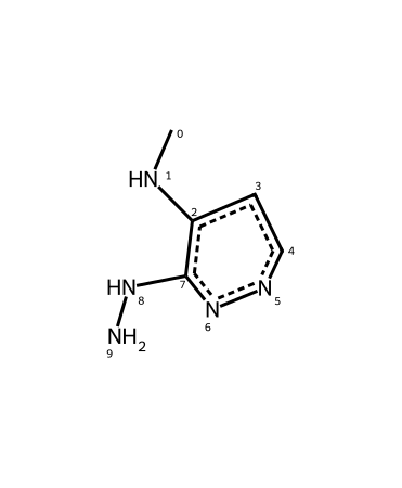 CNc1ccnnc1NN